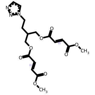 COC(=O)/C=C/C(=O)OCC(CCn1ccnn1)COC(=O)/C=C/C(=O)OC